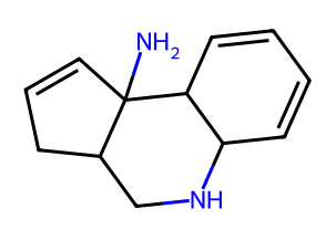 NC12C=CCC1CNC1C=CC=CC12